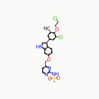 CS(=O)(=O)Nc1nccc(COc2ccc3c(-c4cc(Cl)c(OCCCl)c(C#N)c4)c[nH]c3c2)n1